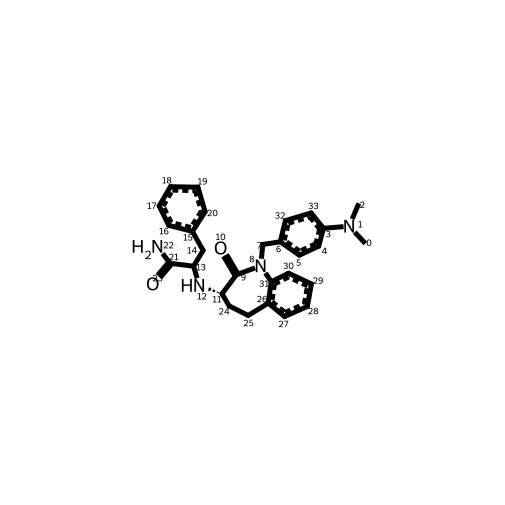 CN(C)c1ccc(CN2C(=O)[C@@H](NC(Cc3ccccc3)C(N)=O)CCc3ccccc32)cc1